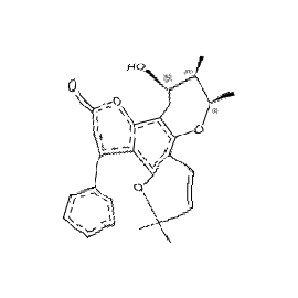 C[C@@H]1[C@H](O)c2c(c3c(c4c(-c5ccccc5)cc(=O)oc24)OC(C)(C)C=C3)O[C@@H]1C